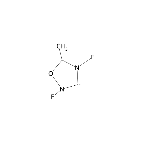 CC1ON(F)[CH]N1F